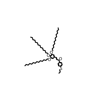 CCCCCCCCCCCCCCOc1cc(C=CC(=O)c2ccc(SCCC)cc2)cc(OCCCCCCCCCCCCCC)c1OCCCCCCCCCCCCCC